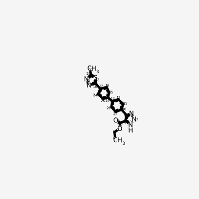 CCOC(=O)c1[nH]nnc1-c1ccc(-c2ccc(-c3nnc(C)s3)cc2)cc1